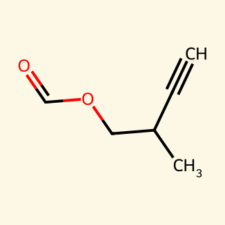 C#CC(C)COC=O